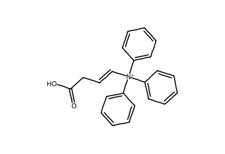 O=C(O)CC=C[N+](c1ccccc1)(c1ccccc1)c1ccccc1